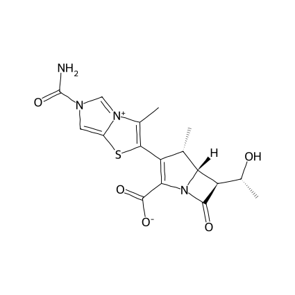 Cc1c(C2=C(C(=O)[O-])N3C(=O)[C@H]([C@@H](C)O)[C@H]3[C@H]2C)sc2cn(C(N)=O)c[n+]12